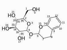 OC[C@H]1OC(OC2CCc3ccccc3O2)[C@H](O)[C@@H](O)[C@@H]1O